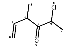 C=CC(C)C(=O)C(C)Cl